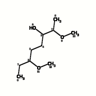 CCC(CCC(O)C(C)OC)OC